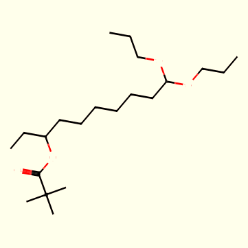 CCCOC(CCCCCCC(CC)OC(=O)C(C)(C)C)OCCC